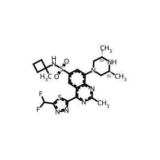 Cc1nc(-c2nnc(C(F)F)s2)c2cc(S(=O)(=O)NC3(C)CCC3)cc(N3C[C@H](C)N[C@@H](C)C3)c2n1